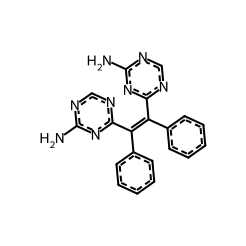 Nc1ncnc(C(=C(c2ccccc2)c2ncnc(N)n2)c2ccccc2)n1